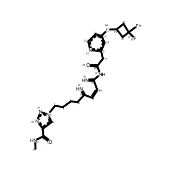 CNC(=O)c1cn(CCCCC(=N)/C=C\C(=N)NC(=O)Cc2cc(OC3CC(F)(F)C3)ccn2)nn1